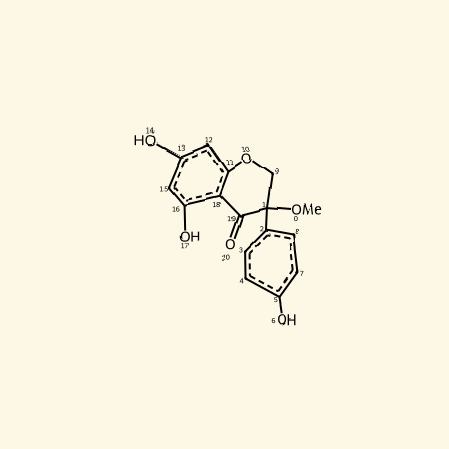 COC1(c2ccc(O)cc2)COc2cc(O)cc(O)c2C1=O